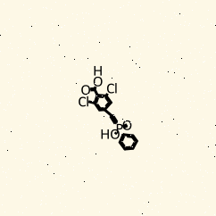 O=C(O)c1c(Cl)cc(C#CP(=O)(O)c2ccccc2)cc1Cl